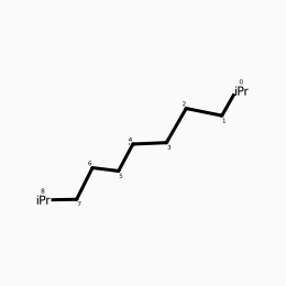 CC(C)CCC[CH]CCCC(C)C